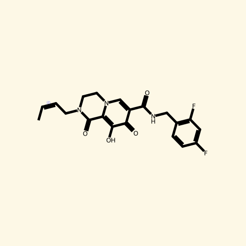 C/C=C\CN1CCn2cc(C(=O)NCc3ccc(F)cc3F)c(=O)c(O)c2C1=O